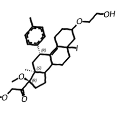 COCC(=O)[C@@]1(OC)CCC2C3CCC4(I)CC(OCCO)CCC4=C3[C@@H](c3ccc(C)cc3)C[C@@]21C